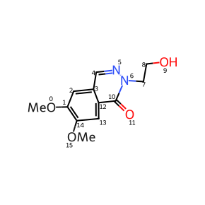 COc1cc2cnn(CCO)c(=O)c2cc1OC